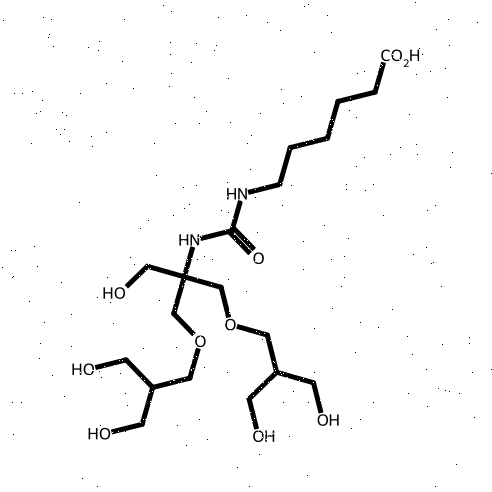 O=C(O)CCCCCNC(=O)NC(CO)(COCC(CO)CO)COCC(CO)CO